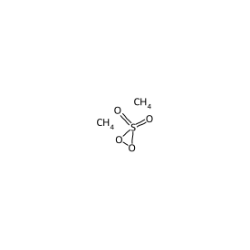 C.C.O=S1(=O)OO1